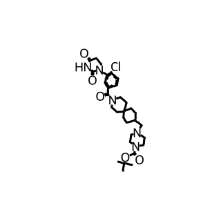 CC(C)(C)OC(=O)N1CCN(CC2CCC3(CC2)CCN(C(=O)c2ccc(Cl)c(N4CCC(=O)NC4=O)c2)CC3)CC1